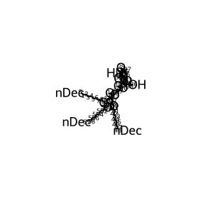 CCCCCCCCCCCCCCCCCCOc1cc(C(=O)OCCC(=O)O[C@H]2C[C@H](n3cc(C)c(=O)[nH]c3=O)O[C@@H]2CO)cc(OCCCCCCCCCCCCCCCCCC)c1OCCCCCCCCCCCCCCCCCC